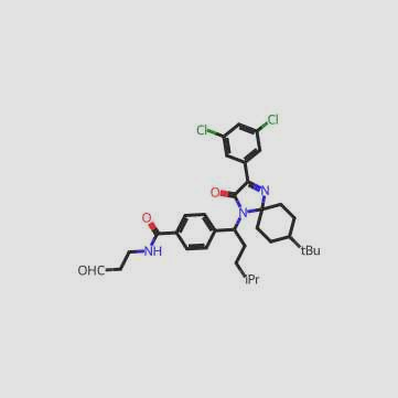 CC(C)CCC(c1ccc(C(=O)NCCC=O)cc1)N1C(=O)C(c2cc(Cl)cc(Cl)c2)=NC12CCC(C(C)(C)C)CC2